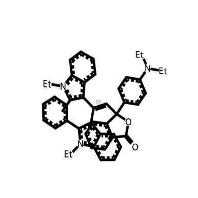 CCN(CC)c1ccc(C2(/C=C(/c3c(C)n(CC)c4ccccc34)c3c(-c4ccccc4)n(CC)c4ccccc34)OC(=O)c3ccccc32)cc1